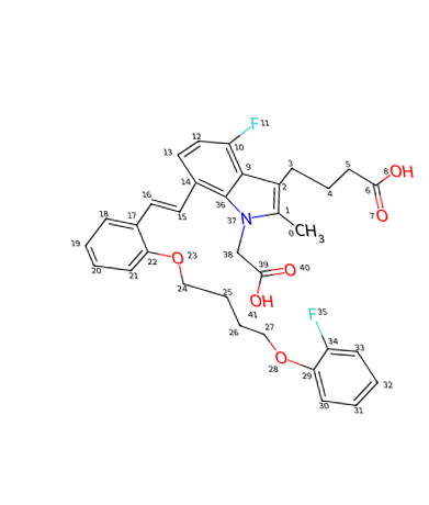 Cc1c(CCCC(=O)O)c2c(F)ccc(C=Cc3ccccc3OCCCCOc3ccccc3F)c2n1CC(=O)O